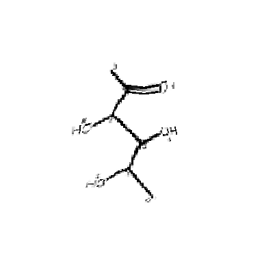 [CH2]C(O)C(O)C(O)C(C)=O